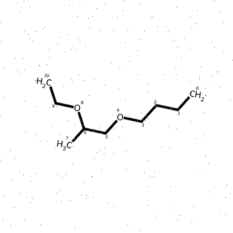 [CH2]CCCOCC(C)OC[CH2]